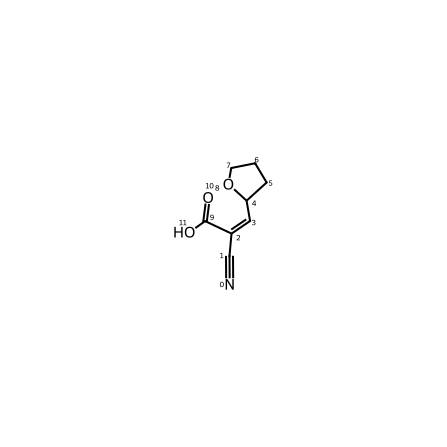 N#CC(=CC1CCCO1)C(=O)O